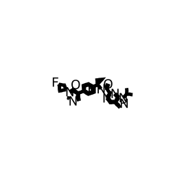 CC(C)n1ncc2cnc(C(=O)NC3(c4ccc(-c5cncn(C6CC(F)C6)c5=O)cc4)CC3)nc21